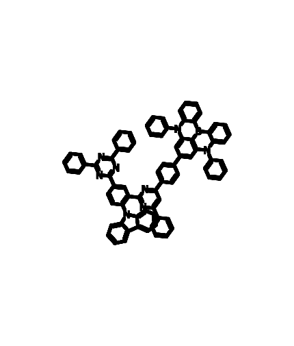 c1ccc(-c2cc(-c3ccc(-c4cc5c6c(c4)N(c4ccccc4)c4ccccc4B6c4ccccc4N5c4ccccc4)cc3)nc(-c3cc(-c4nc(-c5ccccc5)nc(-c5ccccc5)n4)ccc3-n3c4ccccc4c4ccccc43)n2)cc1